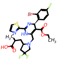 CCOC(=O)C1=C(CN2CC(F)(F)CC2CC(C)C(=O)O)NC(c2nccs2)=N[C@H]1c1ccc(F)cc1Br